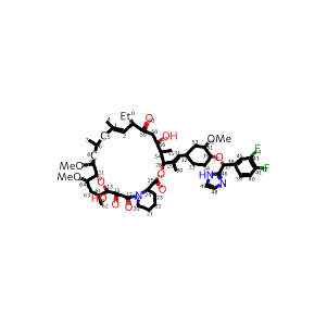 CCC1/C=C(\C)CC(C)CC(OC)C2OC(O)(C(=O)C(=O)N3CCCCC3C(=O)OC(C(C)=CC3CCC(OC(c4ccc(F)c(F)c4)c4ncc[nH]4)C(OC)C3)C(C)C(O)CC1=O)C(C)CC2OC